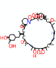 CO[C@H]1C[C@@H]2CC[C@@H](C)[C@@](O)(C2)C(=O)C(=O)N2CCCC[C@H]2C(=O)C[C@H]([C@H](C)CC2CC[C@@H](O)[C@H](CO)C2)CC(=O)[C@H](C)/C=C(\C)[C@@H](O)[C@@H](OC)C(=O)[C@H](C)C[C@H](C)/C=C/C=C/C=C/1C